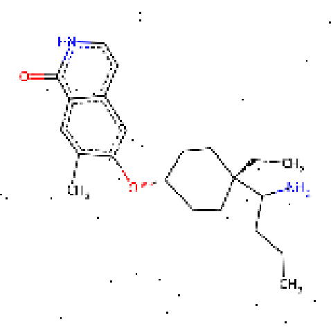 CCCC(N)[C@]1(CC)CC[C@H](Oc2cc3cc[nH]c(=O)c3cc2C)CC1